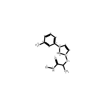 CCNC(=O)C(C)ON1C=CN(c2cccc(C(F)(F)F)c2)N1